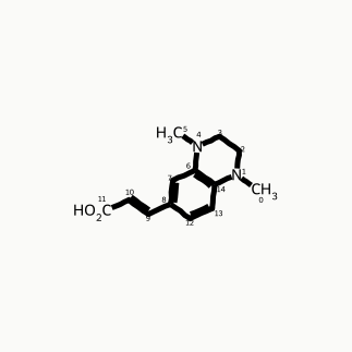 CN1CCN(C)c2cc(C=CC(=O)O)ccc21